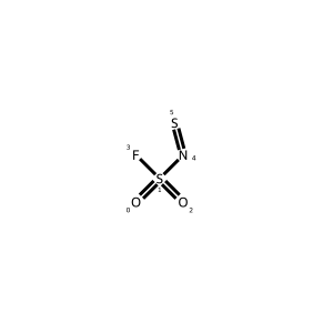 O=S(=O)(F)N=S